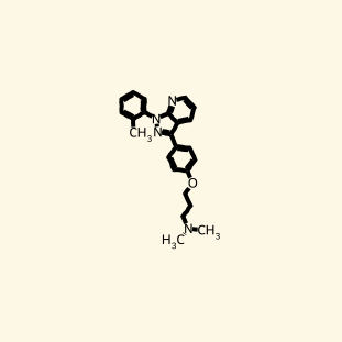 Cc1ccccc1-n1nc(-c2ccc(OCCCN(C)C)cc2)c2cccnc21